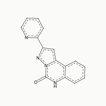 O=c1[nH]c2ccccc2c2cc(-c3ccccn3)nn12